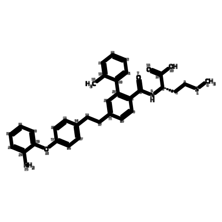 CSCC[C@H](NC(=O)c1ccc(CCc2ccc(Oc3ccccc3N)cc2)cc1-c1ccccc1C)C(=O)O